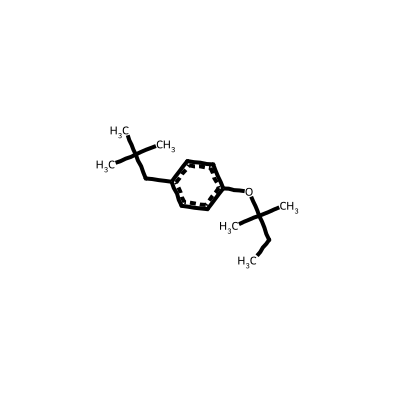 CCC(C)(C)Oc1ccc(CC(C)(C)C)cc1